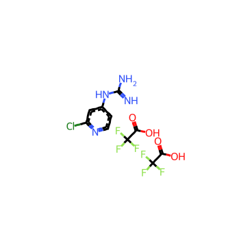 N=C(N)Nc1ccnc(Cl)c1.O=C(O)C(F)(F)F.O=C(O)C(F)(F)F